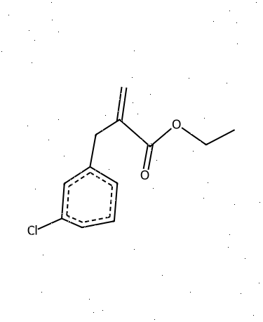 C=C(Cc1cccc(Cl)c1)C(=O)OCC